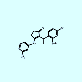 CSc1cc(Br)ccc1C(C)C1=C(Nc2cccc(C(F)(F)F)c2)CCC1=O